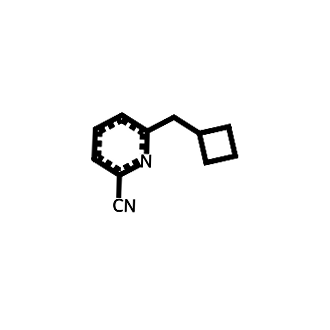 N#Cc1cccc(CC2CCC2)n1